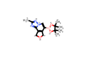 Cc1nc2c3c(c(B4OC(C)(C)C(C)(C)O4)cn2n1)COC3